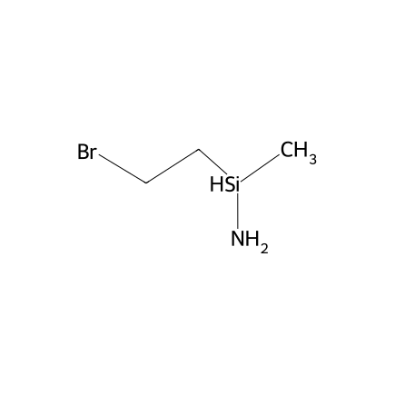 C[SiH](N)CCBr